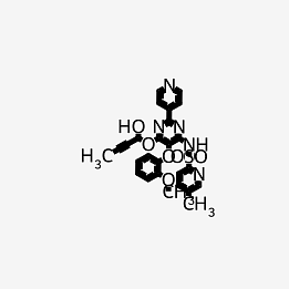 CC#CC(O)Oc1nc(-c2ccncc2)nc(NS(=O)(=O)c2ccc(C)cn2)c1Oc1ccccc1OC